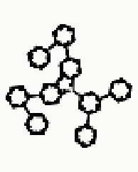 c1ccc(-c2cc(-c3ccccc3)cc(-n3c4ccc(-c5ccccc5-c5ccccc5)cc4c4cc(-c5ccccc5-c5ccccc5)ccc43)c2)cc1